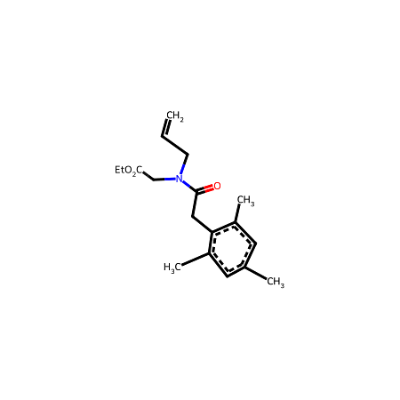 C=CCN(CC(=O)OCC)C(=O)Cc1c(C)cc(C)cc1C